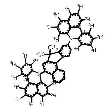 [2H]c1c([2H])c([2H])c(N(c2ccc3c(c2)C(C)(C)c2cc(N(c4c([2H])c([2H])c([2H])c([2H])c4[2H])c4c([2H])c([2H])c([2H])c5c([2H])c([2H])c([2H])c([2H])c45)c4ccccc4c2-3)c2c([2H])c([2H])c([2H])c3c([2H])c([2H])c([2H])c([2H])c23)c([2H])c1[2H]